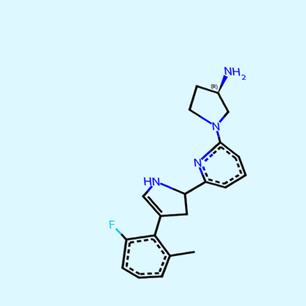 Cc1cccc(F)c1C1=CNC(c2cccc(N3CC[C@@H](N)C3)n2)C1